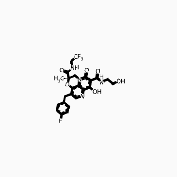 C[C@]1(C(=O)NCC(F)(F)F)Cn2c(=O)c(C(=O)NCCO)c(O)c3ncc(Cc4ccc(F)cc4)c(c32)O1